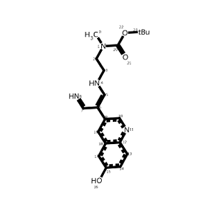 CN(CCN/C=C(\C=N)c1cnc2ccc(O)cc2c1)C(=O)OC(C)(C)C